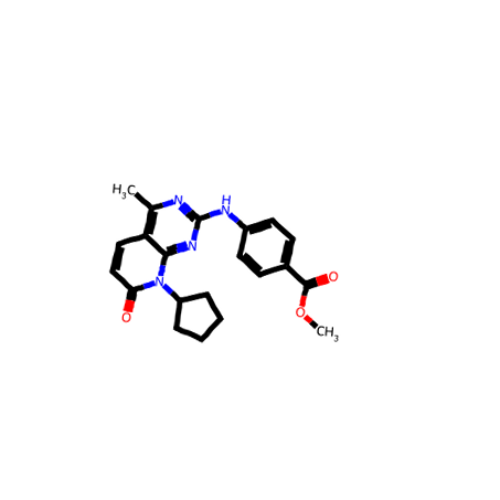 COC(=O)c1ccc(Nc2nc(C)c3ccc(=O)n(C4CCCC4)c3n2)cc1